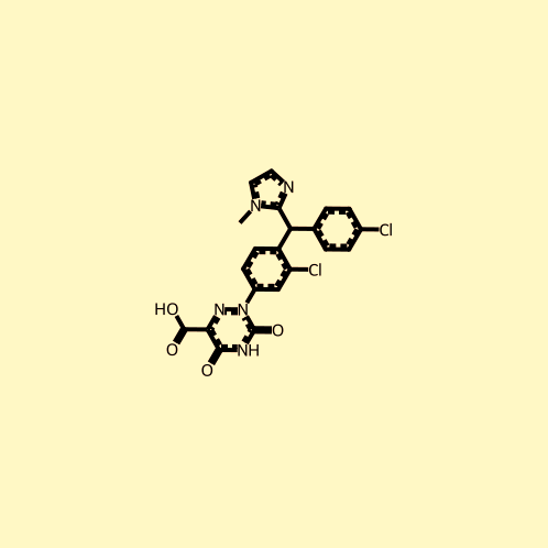 Cn1ccnc1C(c1ccc(Cl)cc1)c1ccc(-n2nc(C(=O)O)c(=O)[nH]c2=O)cc1Cl